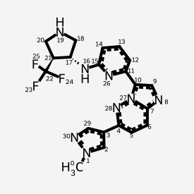 Cn1cc(-c2ccc3ncc(-c4cccc(N[C@H]5CNC[C@@H]5C(F)(F)F)n4)n3n2)cn1